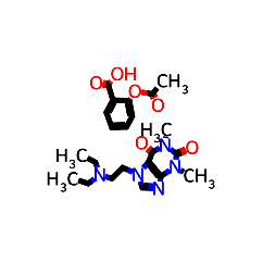 CC(=O)Oc1ccccc1C(=O)O.CCN(CC)CCn1cnc2c1c(=O)n(C)c(=O)n2C